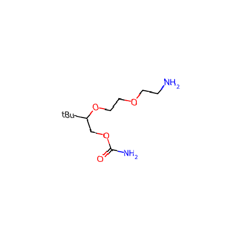 CC(C)(C)C(COC(N)=O)OCCOCCN